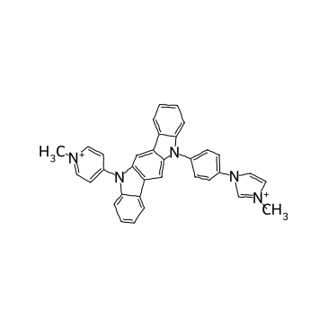 C[n+]1ccc(-n2c3ccccc3c3cc4c(cc32)c2ccccc2n4-c2ccc(-n3cc[n+](C)c3)cc2)cc1